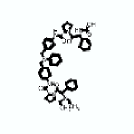 CCN(CC)[C@@H](C(=O)N1CCC[C@H]1C(=O)Nc1ccc(CN(Cc2ccc(NC(=O)[C@@H]3CCCN3C(=O)[C@H](NC(=O)O)c3ccccc3)cc2)c2ccccc2)cc1)c1ccccc1